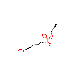 C#CCOS(=O)(=O)CCCCCCOC